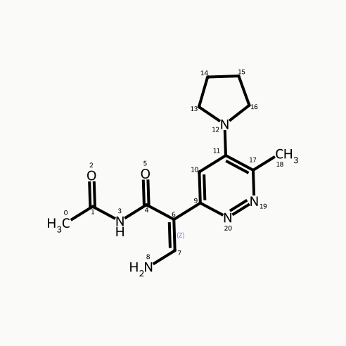 CC(=O)NC(=O)/C(=C\N)c1cc(N2CCCC2)c(C)nn1